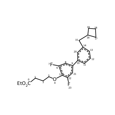 CCOC(=O)CCCOc1c(F)cc(-c2cccc(CC3CCC3)c2)cc1F